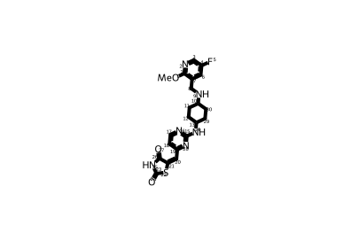 COc1ncc(F)cc1CNC1CCC(Nc2nccc(C=C3SC(=O)NC3=O)n2)CC1